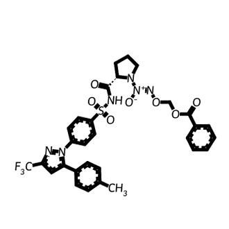 Cc1ccc(-c2cc(C(F)(F)F)nn2-c2ccc(S(=O)(=O)NC(=O)[C@@H]3CCCN3[N+]([O-])=NOCOC(=O)c3ccccc3)cc2)cc1